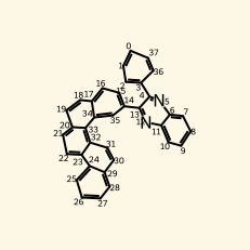 c1ccc(-c2nc3ccccc3nc2-c2ccc3ccc4ccc5c6ccccc6ccc5c4c3c2)cc1